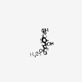 CCOC(=O)C1CC(O)(c2ccc(/C=N/O)cc2)C1